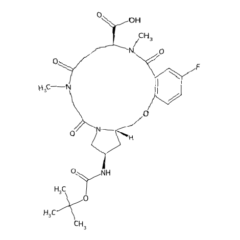 CN1CC(=O)N2C[C@H](NC(=O)OC(C)(C)C)C[C@H]2COc2ccc(F)cc2C(=O)N(C)[C@H](C(=O)O)CCC1=O